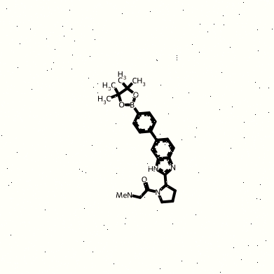 CNCC(=O)N1CCCC1c1nc2ccc(-c3ccc(B4OC(C)(C)C(C)(C)O4)cc3)cc2[nH]1